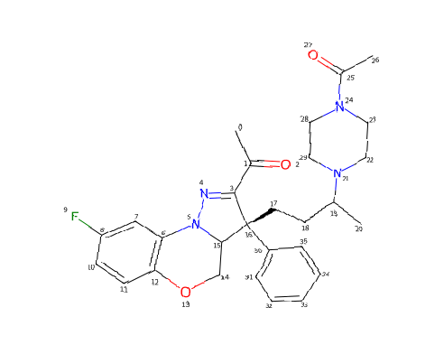 CC(=O)C1=NN2c3cc(F)ccc3OCC2[C@@]1(CCC(C)N1CCN(C(C)=O)CC1)c1ccccc1